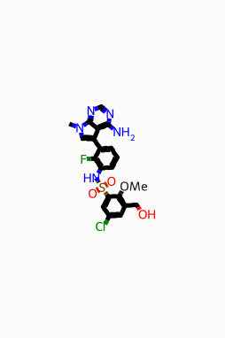 COc1c(CO)cc(Cl)cc1S(=O)(=O)Nc1cccc(-c2cn(C)c3ncnc(N)c23)c1F